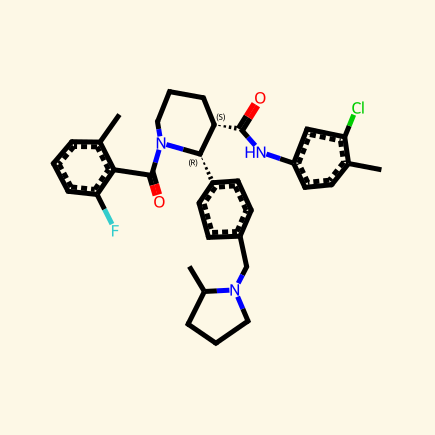 Cc1ccc(NC(=O)[C@H]2CCCN(C(=O)c3c(C)cccc3F)[C@H]2c2ccc(CN3CCCC3C)cc2)cc1Cl